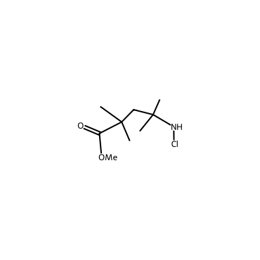 COC(=O)C(C)(C)CC(C)(C)NCl